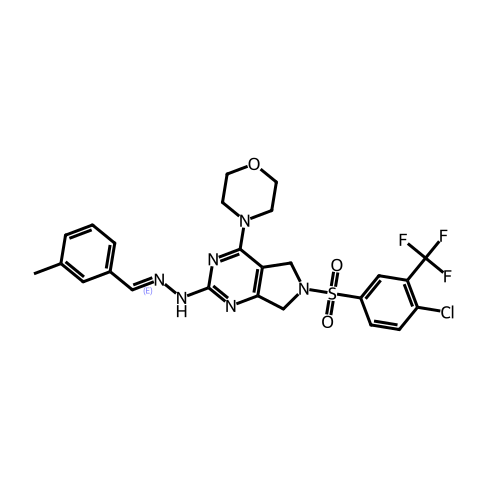 Cc1cccc(/C=N/Nc2nc3c(c(N4CCOCC4)n2)CN(S(=O)(=O)c2ccc(Cl)c(C(F)(F)F)c2)C3)c1